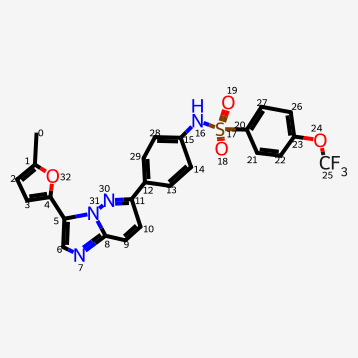 Cc1ccc(-c2cnc3ccc(-c4ccc(NS(=O)(=O)c5ccc(OC(F)(F)F)cc5)cc4)nn23)o1